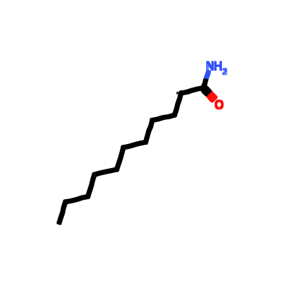 CCCCCCCCC[CH]C(N)=O